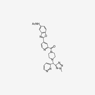 CC(=O)Nc1ccc2oc(-c3ccnc(C(=O)N4CCN(C(c5cccnn5)c5nnn(C)n5)CC4)c3)nc2c1